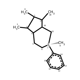 CC1C(C)C2CC[S@](C)(c3ccccc3)CC2C1C